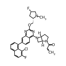 C=CC(=O)N1CC[C@@H]2[C@H]1CN2c1nc(OC[C@@H]2C[C@@H](F)CN2C)nc2cc(-c3cccc4ccc(F)c(Cl)c34)ccc12